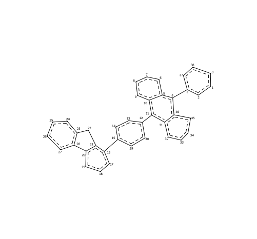 c1ccc(-c2c3ccccc3c(-c3ccc(-c4cccc5c4Cc4ccccc4-5)cc3)c3ccccc23)cc1